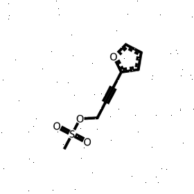 CS(=O)(=O)OCC#Cc1ccco1